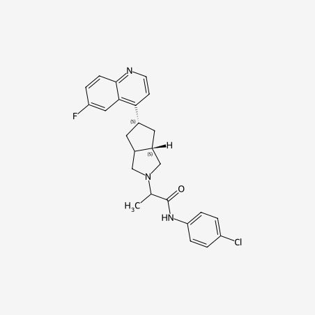 CC(C(=O)Nc1ccc(Cl)cc1)N1CC2C[C@H](c3ccnc4ccc(F)cc34)C[C@@H]2C1